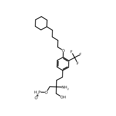 NC(CO)(CCc1ccc(OCCCCC2CCCCC2)c(C(F)(F)F)c1)CO[PH2]=O